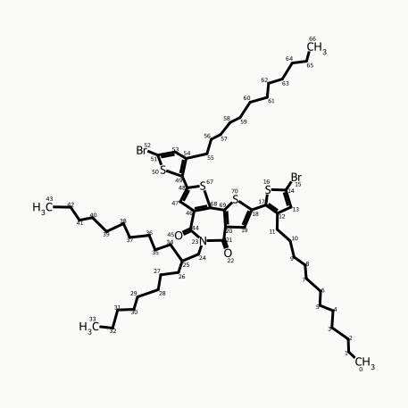 CCCCCCCCCCCCc1cc(Br)sc1-c1cc2c(=O)n(CC(CCCCCCCC)CCCCCCCCCC)c(=O)c3cc(-c4sc(Br)cc4CCCCCCCCCCCC)sc3c2s1